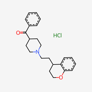 Cl.O=C(c1ccccc1)C1CCN(CCC2CCOc3ccccc32)CC1